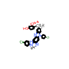 CC(C)N=c1cc2n(-c3ccc(Cl)cc3)c3ccccc3nc-2cc1Nc1ccc(Cl)cc1.O=C(O)c1ccc(O)cc1O